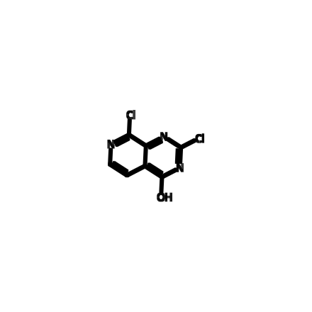 Oc1nc(Cl)nc2c(Cl)nccc12